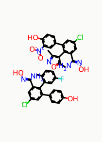 Cc1ccc(F)cc1-c1c(C(N)=NO)cc(Cl)cc1-c1ccc(O)cc1.Cc1noc(C)c1-c1c(C(N)=NO)cc(Cl)cc1-c1ccc(O)c([N+](=O)[O-])c1